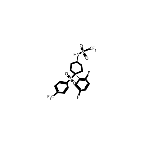 O=S(=O)(N[C@H]1CC[C@@](c2cc(F)ccc2F)(S(=O)(=O)c2ccc(C(F)(F)F)cc2)CC1)C(F)(F)F